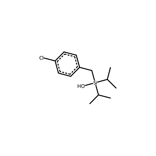 CC(C)[Si](O)(Cc1ccc(Cl)cc1)C(C)C